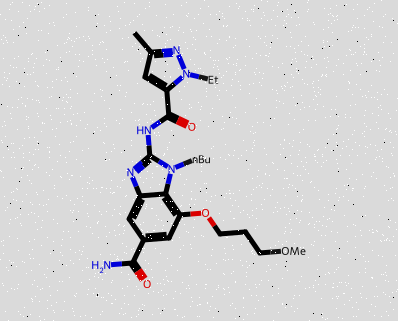 CCCCn1c(NC(=O)c2cc(C)nn2CC)nc2cc(C(N)=O)cc(OCCCOC)c21